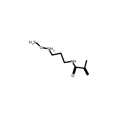 C=C(C)C(=O)NCCC[SiH2]O[SiH3]